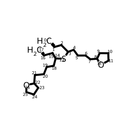 C=CCC(CCCCC1CCCO1)SC(CC=C)CCCCC1CCCO1